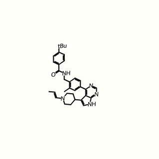 CC=CN1CCC(c2c[nH]c3ncnc(-c4ccc(CNC(=O)c5ccc(C(C)(C)C)cc5)c(C)c4)c23)CC1